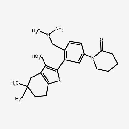 CN(N)Cc1ccc(N2CCCCC2=O)cc1-c1sc2c(c1C(=O)O)CC(C)(C)CC2